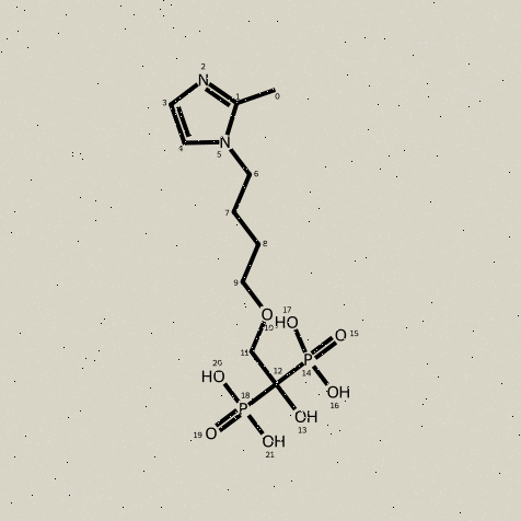 Cc1nccn1CCCCOCC(O)(P(=O)(O)O)P(=O)(O)O